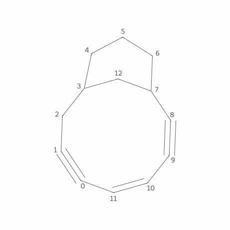 C1#CCC2CCCC(C#CC=C1)C2